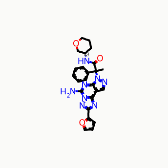 CC(C(=O)N[C@H]1CCCOC1)(c1ccccc1)n1ncc2c1nc(N)n1nc(-c3ccco3)nc21